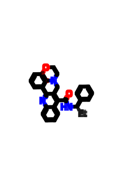 CC[C@H](NC(=O)c1c(CN2CCOCC2)c(-c2ccccc2)nc2ccccc12)c1ccccc1